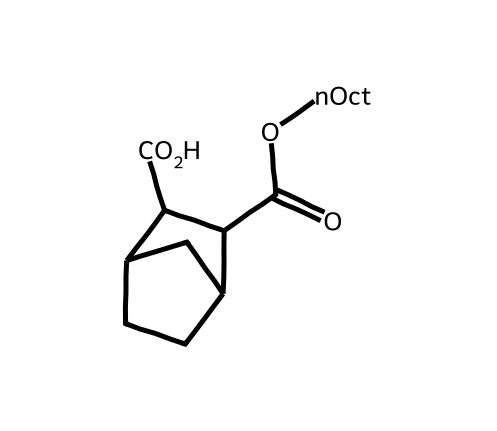 CCCCCCCCOC(=O)C1C2CCC(C2)C1C(=O)O